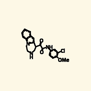 COc1ccc(NC(=O)C(=O)C2CNCCn3c2cc2ccccc23)cc1Cl